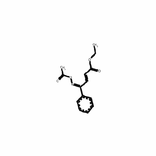 CCOC(=O)C=CC(=NOC(C)=O)c1ccccc1